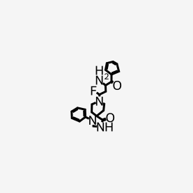 NC(CC(F)N1CCC2(CC1)C(=O)NCN2c1ccccc1)C(=O)c1ccccc1